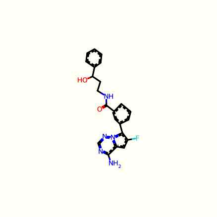 Nc1ncnn2c(-c3cccc(C(=O)NCCC(O)c4ccccc4)c3)c(F)cc12